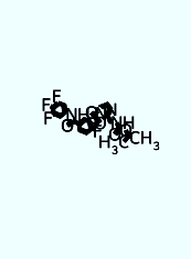 CC(C)OC(=O)NCc1nccn1S(=O)(=O)c1cc(C(=O)Nc2cc(F)c(F)c(F)c2)ccc1F